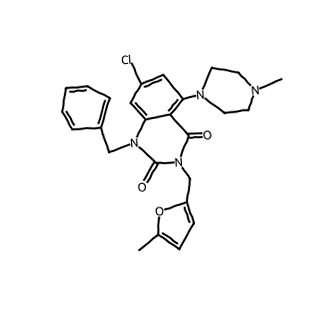 Cc1ccc(Cn2c(=O)c3c(N4CCN(C)CC4)cc(Cl)cc3n(Cc3ccccc3)c2=O)o1